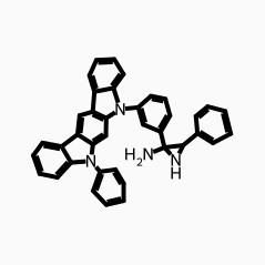 NC1(c2cccc(-n3c4ccccc4c4cc5c6ccccc6n(-c6ccccc6)c5cc43)c2)NC1c1ccccc1